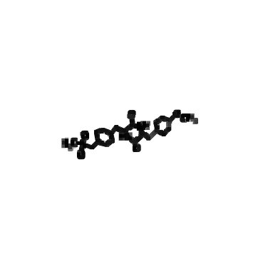 COc1ccc(/C=c2\[nH]c(=O)/c(=C/c3ccc(CS(C)(=O)=O)cc3)[nH]c2=O)cc1